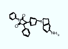 Nc1ccc2c(c1)CCN2c1ccc(C2=C(c3ccccc3)C(=O)N(c3ccccc3)C2=O)cc1